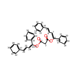 O=C(CC(=O)OC(=CC=Cc1ccccc1)c1ccccc1)OC(=CC=Cc1ccccc1)c1ccccc1